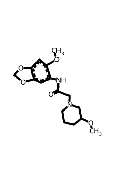 COc1cc2c(cc1NC(=O)CN1CCCC(OC)C1)OCO2